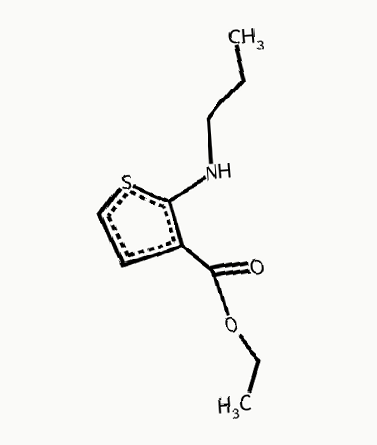 CCCNc1sccc1C(=O)OCC